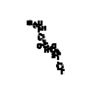 CC(C)(C)OC(=O)NCc1ccc(N2CC(C(=O)Nc3nnc(CCc4ccc(Cl)cc4)s3)CC2=O)cc1